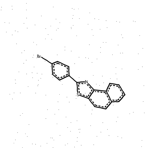 Brc1ccc(-c2nc3c(ccc4ccccc43)s2)cc1